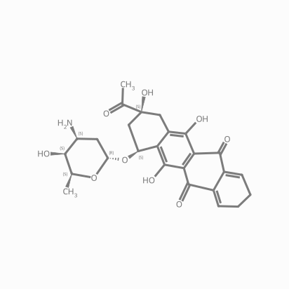 CC(=O)[C@]1(O)Cc2c(O)c3c(c(O)c2[C@@H](O[C@H]2C[C@H](N)[C@H](O)[C@H](C)O2)C1)C(=O)C1=CCCC=C1C3=O